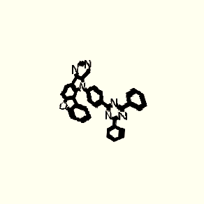 c1ccc(-c2nc(-c3ccccc3)nc(-c3ccc(-n4c5cncnc5c5ccc6oc7ccccc7c6c54)cc3)n2)cc1